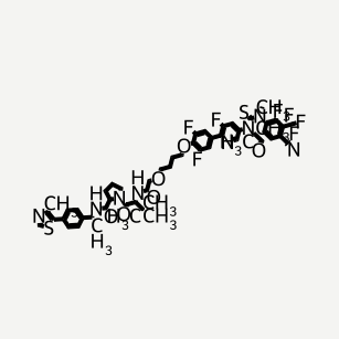 Cc1ncsc1-c1ccc(C(C)NC(=O)C2CCCN2C(=O)C(NC(=O)COCCCCOc2c(F)cc(-c3ncc(N(C(=S)N(C)c4ccc(C#N)c(C(F)(F)F)c4F)C(C)(C)C=O)cc3F)cc2F)C(C)(C)C)cc1